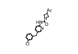 CC(=O)C1CN(C(=O)Nc2ccc(Cc3cccc(Cl)c3)cn2)C1